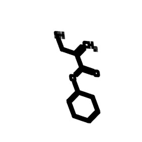 C=C(CS)C(=O)OC1CCCCC1